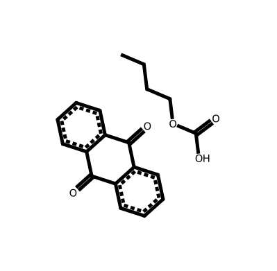 CCCCOC(=O)O.O=C1c2ccccc2C(=O)c2ccccc21